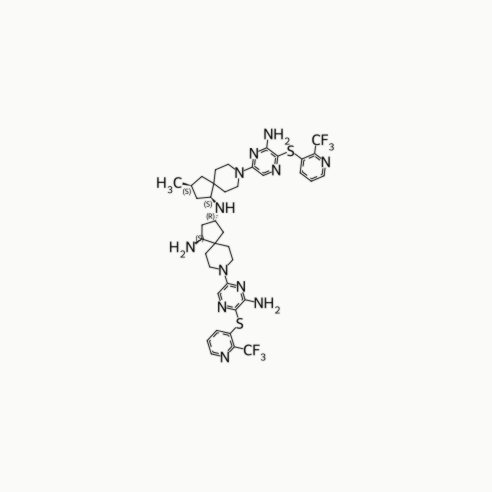 C[C@@H]1C[C@H](N[C@H]2C[C@H](N)C3(CCN(c4cnc(Sc5cccnc5C(F)(F)F)c(N)n4)CC3)C2)C2(CCN(c3cnc(Sc4cccnc4C(F)(F)F)c(N)n3)CC2)C1